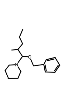 CCCC(C)C(OCc1ccccc1)N1CC[CH]CC1